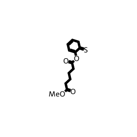 COC(=O)CCCCC(=O)OC1=CC=CCC1=S